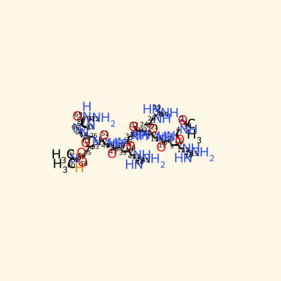 CC(=O)NCC(=O)N[C@@H](CCCNC(=N)N)C(=O)NCC(=O)N[C@@H](CCCNC(=N)N)C(=O)NCC(=O)N[C@@H](CCCNC(=N)N)C(=O)NCC(=O)N1C[C@@H](CO[PH](=O)N(C)C)O[C@@H](n2cnc3c(=O)[nH]c(N)nc32)C1